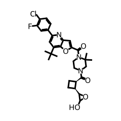 CC(C)(C)c1cc(-c2ccc(Cl)c(F)c2)nc2cc(C(=O)N3CCN(C(=O)[C@@H]4CC[C@@H]4C4OC4O)CC3(C)C)oc12